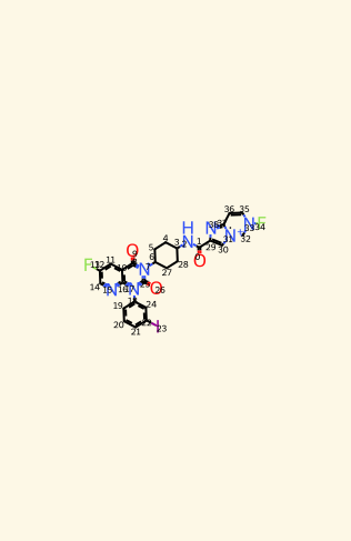 O=C(NC1CCC(n2c(=O)c3cc(F)cnc3n(-c3cccc(I)c3)c2=O)CC1)C1=C[N+]2CN(F)C=CC2=N1